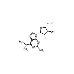 CN(C)c1nc(N)nc2c1ncn2[C@@H]1O[C@H](CO)[C@@H](O)[C@@H]1F